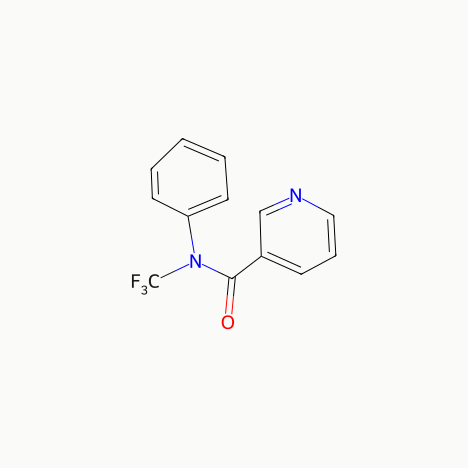 O=C(c1cccnc1)N(c1ccccc1)C(F)(F)F